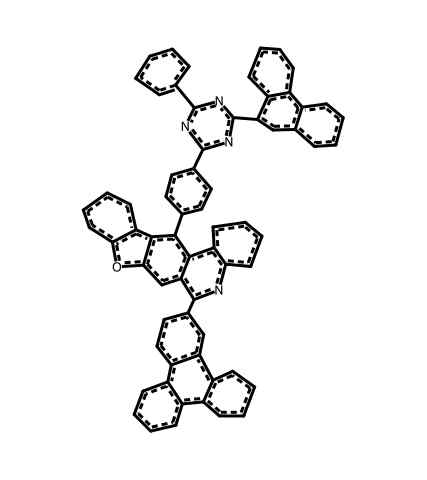 c1ccc(-c2nc(-c3ccc(-c4c5c(cc6c(-c7ccc8c9ccccc9c9ccccc9c8c7)nc7ccccc7c46)oc4ccccc45)cc3)nc(-c3cc4ccccc4c4ccccc34)n2)cc1